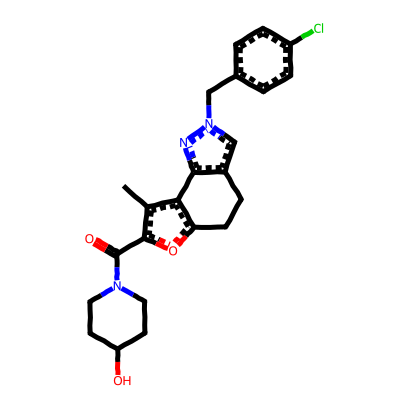 Cc1c(C(=O)N2CCC(O)CC2)oc2c1-c1nn(Cc3ccc(Cl)cc3)cc1CC2